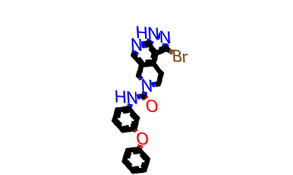 O=C(Nc1cccc(Oc2ccccc2)c1)N1CCc2c(cnc3[nH]nc(Br)c23)C1